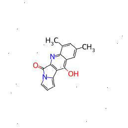 Cc1cc(C)c2nc3c(c(O)c2c1)-c1cccn1C3=O